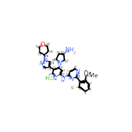 COc1cccc(F)c1-c1nccc(Nc2cc(N3CC[C@@H](N)C3)c(-c3cnn(C4CCOCC4)c3)cn2)n1.Cl